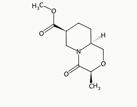 COC(=O)[C@H]1CC[C@H]2CO[C@@H](C)C(=O)N2C1